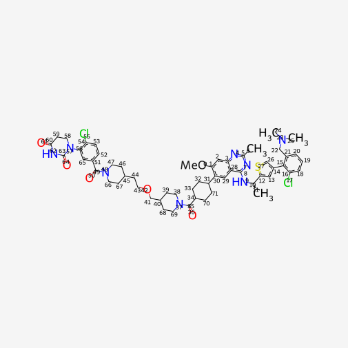 COc1cc2nc(C)nc(N[C@H](C)c3cc(-c4c(Cl)cccc4CN(C)C)cs3)c2cc1C1CCC(C(=O)N2CCC(COCCC3CCN(C(=O)c4ccc(Cl)c(N5CCC(=O)NC5=O)c4)CC3)CC2)CC1